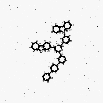 c1ccc(-c2ccc(-c3cccc(-c4nc(-c5cccc(-n6c7ccccc7c7ccccc76)c5)nc(-c5ccc6c(c5)oc5ccccc56)n4)c3)cc2)cc1